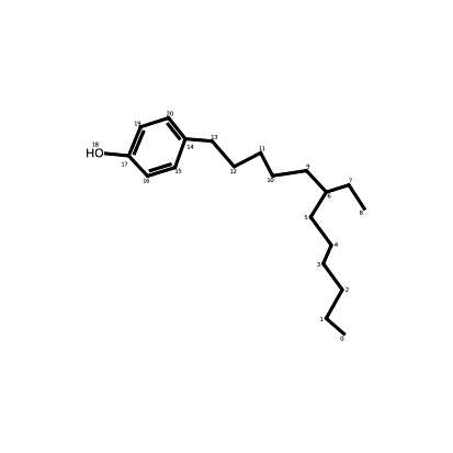 CCCCCCC(CC)CCCCCc1ccc(O)cc1